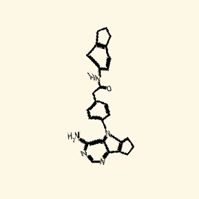 Nc1ncnc2c3c(n(-c4ccc(CC(=O)Nc5ccc6c(c5)CCC6)cc4)c12)CCC3